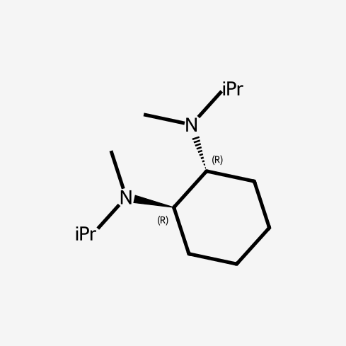 CC(C)N(C)[C@@H]1CCCC[C@H]1N(C)C(C)C